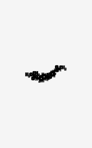 C=CC(=O)OCc1ccc(OC(F)(F)c2ccc3cc(COC(=O)C(=C)C)ccc3c2)cc1